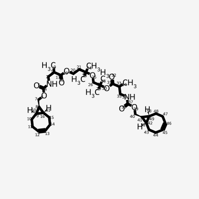 CC(CNC(=O)OC[C@@H]1[C@@H]2CCC#CCC[C@@H]21)C(=O)OCCC(C)(C)OCC(C)(C)OC(=O)C(C)CNC(=O)OC[C@@H]1[C@@H]2CCC#CCC[C@@H]21